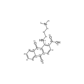 CN(C)CCCNc1c(C(=O)O)ccc2c1C(=O)c1ccccc1C2=O